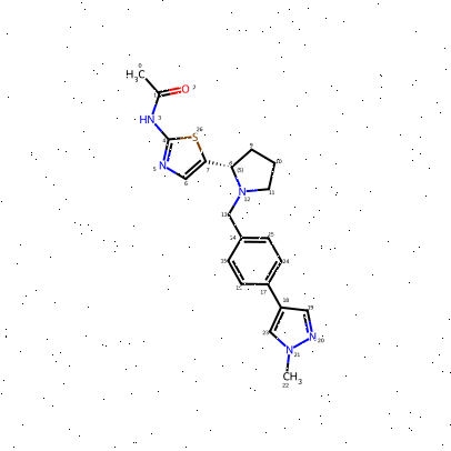 CC(=O)Nc1ncc([C@@H]2CCCN2Cc2ccc(-c3cnn(C)c3)cc2)s1